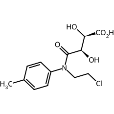 Cc1ccc(N(CCCl)C(=O)[C@H](O)[C@@H](O)C(=O)O)cc1